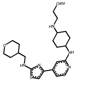 COCCNC1CCC(Nc2cc(-c3csc(NCC4CCOCC4)n3)ccn2)CC1